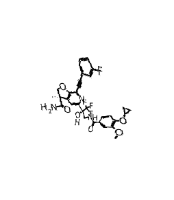 COc1cc(C(=O)NC[C@](O)(c2cc3c(c(C#Cc4cccc(F)c4)n2)OC[C@]3(C)C(N)=O)C(F)(F)F)ccc1OC1CC1